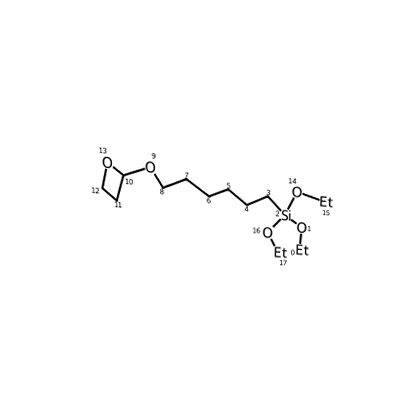 CCO[Si](CCCCCCOC1CCO1)(OCC)OCC